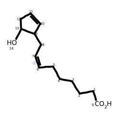 O=C(O)CCCCC/C=C\CC1C=CCC1O